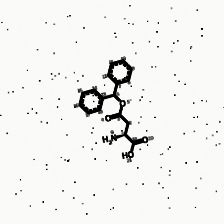 N[C@@H](CC(=O)OC(c1ccccc1)c1ccccc1)C(=O)O